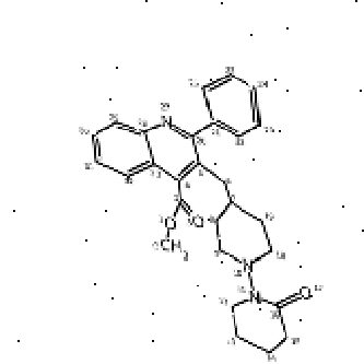 COC(=O)c1c(CC2CCN(N3CCCCC3=O)CC2)c(-c2ccccc2)nc2ccccc12